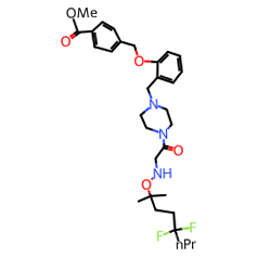 CCCC(F)(F)CCC(C)(C)ONCC(=O)N1CCN(Cc2ccccc2OCc2ccc(C(=O)OC)cc2)CC1